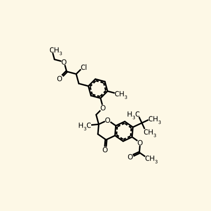 CCOC(=O)C(Cl)Cc1ccc(C)c(OCC2(C)CC(=O)c3cc(OC(C)=O)c(C(C)(C)C)cc3O2)c1